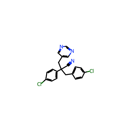 N#CC(Cc1ccc(Cl)cc1)(Cc1cncnc1)c1ccc(Cl)cc1